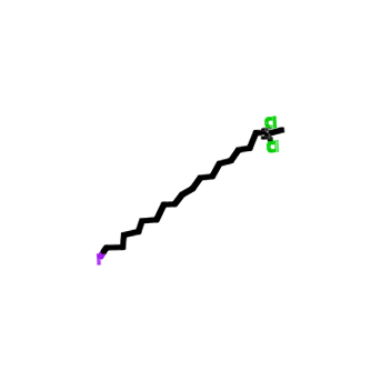 C[Si](Cl)(Cl)CCCCCCCCCCCCCCCCCI